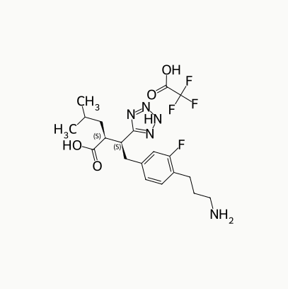 CC(C)C[C@H](C(=O)O)[C@H](Cc1ccc(CCCN)c(F)c1)c1nn[nH]n1.O=C(O)C(F)(F)F